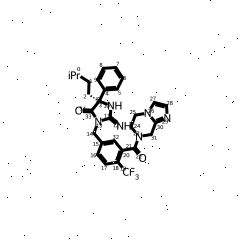 CC(C)CC[C@]1(c2ccccc2)NC(=N)N(Cc2ccc(C(F)(F)F)c(C(=O)N3CCn4ccnc4C3)c2)C1=O